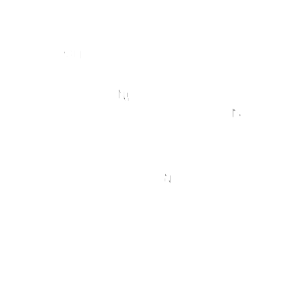 N#CCn1cc(C[C@@H](N)CO)c2ccccc21